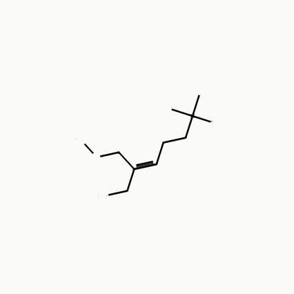 CCC(C)(C)CC/C=C(\CSC(C)=O)CC(C)(C)C